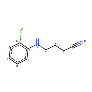 N#CCCCNc1ccccc1F